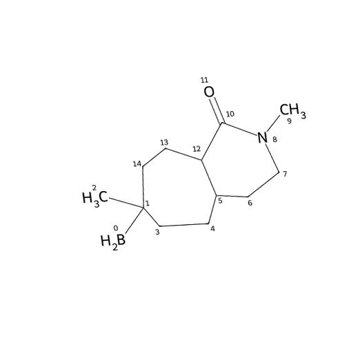 BC1(C)CCC2CCN(C)C(=O)C2CC1